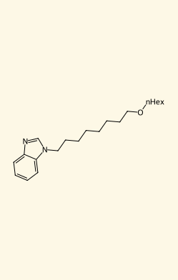 CCCCCCOCCCCCCCCn1cnc2ccccc21